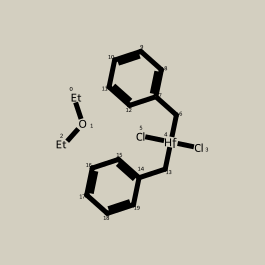 CCOCC.[Cl][Hf]([Cl])([CH2]c1ccccc1)[CH2]c1ccccc1